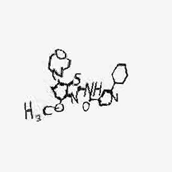 COc1ccc(N2CCOCC2)c2sc(NC(=O)c3ccnc(C4CCCCC4)c3)nc12